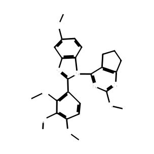 COc1ccc2c(c1)nc(-c1ccc(OC)c(OC)c1OC)n2-c1nc(SC)nc2c1CCC2